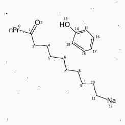 CCCC(=O)CCCCCCCC[CH2][Na].Oc1ccccc1